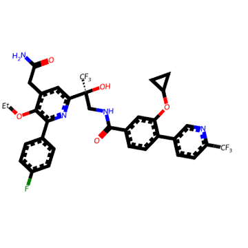 CCOc1c(CC(N)=O)cc([C@@](O)(CNC(=O)c2ccc(-c3ccc(C(F)(F)F)nc3)c(OC3CC3)c2)C(F)(F)F)nc1-c1ccc(F)cc1